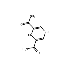 NC(=O)C1=CNC=C(C(N)=O)N1